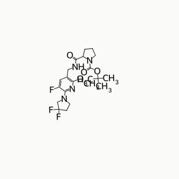 COc1nc(N2CCC(F)(F)C2)c(F)cc1CNC(=O)C1CCCN1C(=O)OC(C)(C)C